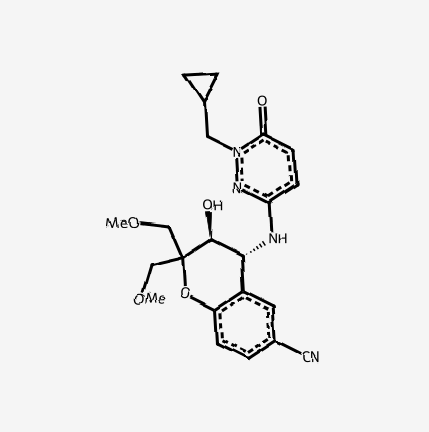 COCC1(COC)Oc2ccc(C#N)cc2[C@@H](Nc2ccc(=O)n(CC3CC3)n2)[C@@H]1O